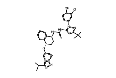 CC(C)c1nnc2ccc(O[C@H]3CC[C@H](NC(=O)Nc4cc(C(C)(C)C)nn4-c4ccc(O)c(Cl)c4)c4ccccc43)cn12